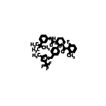 Cc1cccc(F)c1C(=O)N1CCC[C@H](C(=O)Nc2cccc(C(C)(C)C)c2)[C@@H]1C1C=CC(CN2C[C@H](C)CC2C(F)(F)F)=CC1